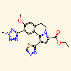 CCOC(=O)c1cc(-c2nncs2)c2n1CCc1cc(OC)c(-c3nnn(C)n3)cc1-2